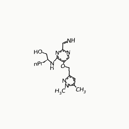 CCC[C@@H](CO)Nc1nc(C=N)ncc1OCc1cc(C)n(C)n1